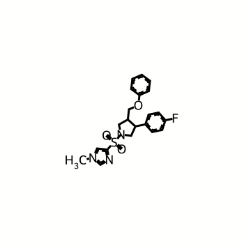 Cn1cnc(S(=O)(=O)N2CC(COc3ccccc3)C(c3ccc(F)cc3)C2)c1